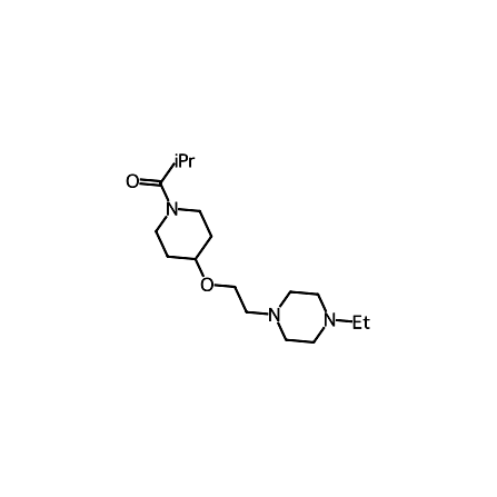 CCN1CCN(CCOC2CCN(C(=O)C(C)C)CC2)CC1